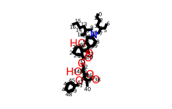 CCCCC(CC)CN(CC(CC)CCCC)c1ccc(C(=O)c2ccccc2C(=O)OC[C@H](O)[C@H]2OC(=O)C(C)=C2OCc2ccccc2)c(O)c1